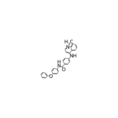 Cc1cccc2c(Nc3ccc(C(=O)Nc4ccc(Oc5ccccc5)cc4)cc3)ccnc12